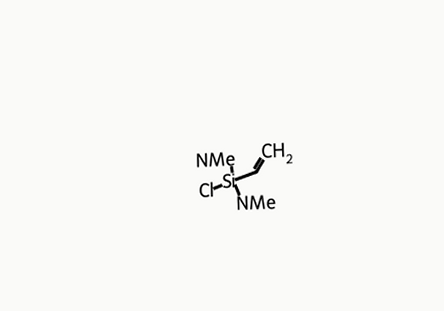 C=C[Si](Cl)(NC)NC